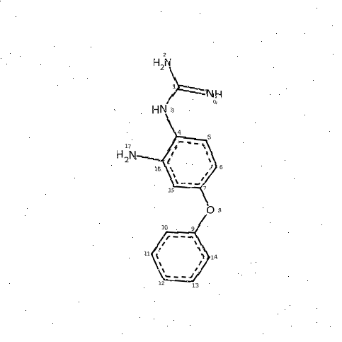 N=C(N)Nc1ccc(Oc2ccccc2)cc1N